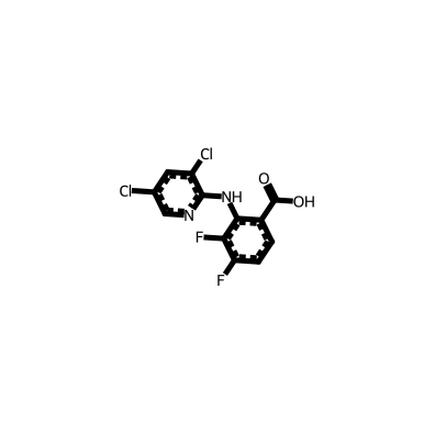 O=C(O)c1ccc(F)c(F)c1Nc1ncc(Cl)cc1Cl